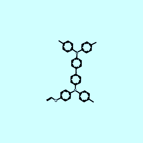 C=COc1ccc(N(c2ccc(C)cc2)c2ccc(-c3ccc(N(c4ccc(C)cc4)c4ccc(C)cc4)cc3)cc2)cc1